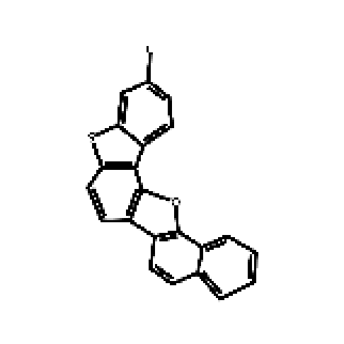 Clc1ccc2c(c1)sc1ccc3c4ccc5ccccc5c4oc3c12